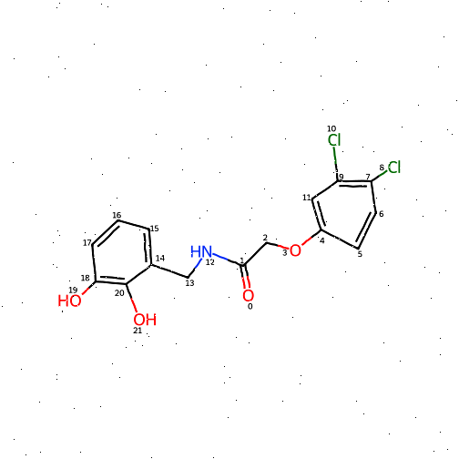 O=C(COc1ccc(Cl)c(Cl)c1)NCc1cccc(O)c1O